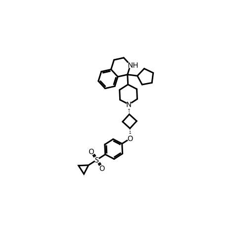 O=S(=O)(c1ccc(O[C@H]2C[C@@H](N3CCC(C4(C5CCCC5)NCCc5ccccc54)CC3)C2)cc1)C1CC1